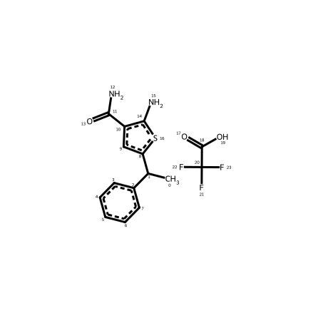 CC(c1ccccc1)c1cc(C(N)=O)c(N)s1.O=C(O)C(F)(F)F